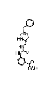 COC(=O)c1cccc(NC(=O)NC[C@@H]2CC[C@H](Cc3ccccc3)CN2)c1